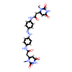 Cn1c(CC(=O)Nc2ccc(/N=N/c3ccc(NC(=O)Cc4cc(=O)[nH]c(=O)n4C)cc3)cc2)cc(=O)[nH]c1=O